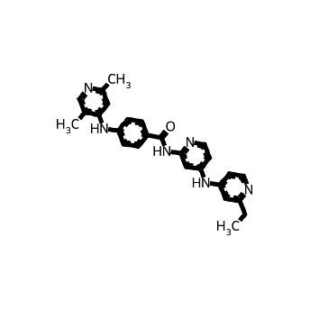 CCc1cc(Nc2ccnc(NC(=O)c3ccc(Nc4cc(C)ncc4C)cc3)c2)ccn1